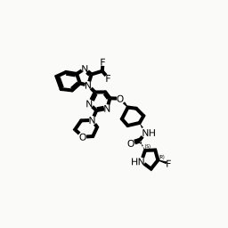 O=C(N[C@H]1CC[C@H](Oc2cc(-n3c(C(F)F)nc4ccccc43)nc(N3CCOCC3)n2)CC1)[C@@H]1C[C@@H](F)CN1